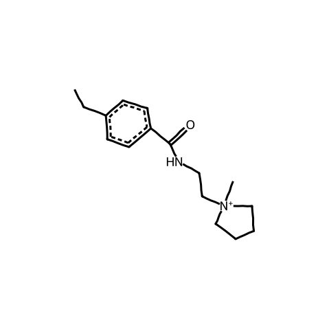 CCc1ccc(C(=O)NCC[N+]2(C)CCCC2)cc1